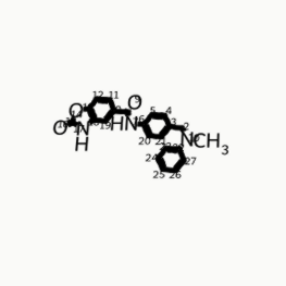 CN(Cc1ccc(NC(=O)c2ccc3oc(=O)[nH]c3c2)cc1)c1ccccc1